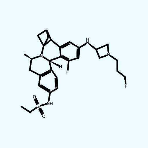 CCS(=O)(=O)Nc1ccc2c(c1)C[C@@H](C)N1[C@@H]2c2c(F)cc(NC3CN(CCCF)C3)cc2C2C3CC21C3